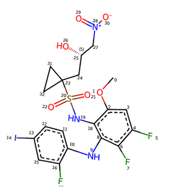 COc1cc(F)c(F)c(Nc2ccc(I)cc2F)c1NS(=O)(=O)C1(C[C@H](O)C[N+](=O)[O-])CC1